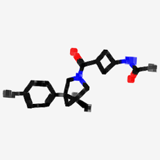 CCC(=O)NC1CC(C(=O)N2C[C@@H]3CC3(c3ccc(C(C)(C)C)cc3)C2)C1